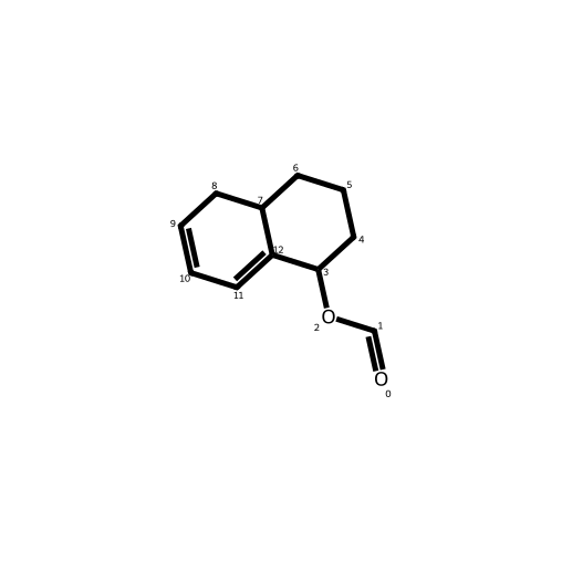 O=COC1CCCC2CC=CC=C21